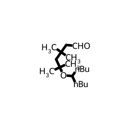 CCCCC(CCCC)OC(C)(C)CC(C)(C)CC=O